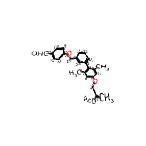 CC(=O)OC(C)COc1cc(C)c(-c2cccc(COc3ccc(C=O)cc3)c2)c(C)c1